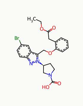 CCOC(=O)Cc1ccccc1OCc1c2cc(Br)ccc2nn1[C@H]1CCN(C(=O)O)C1